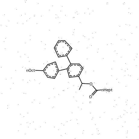 CCCCCCCCc1ccc(-c2cc(C(C)OC(=O)CCCCCCC)ccc2-c2ccccc2)cc1